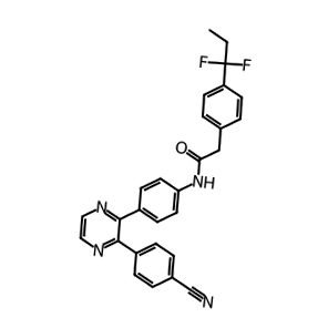 CCC(F)(F)c1ccc(CC(=O)Nc2ccc(-c3nccnc3-c3ccc(C#N)cc3)cc2)cc1